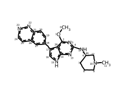 COc1nc(N[C@@H]2CCCN(C)C2)nc2[nH]cc(-c3ccc4nnccc4c3)c12